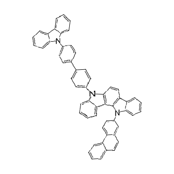 c1ccc2c(c1)ccc1cc(-n3c4ccccc4c4ccc5c(c6ccccc6n5-c5ccc(-c6ccc(-n7c8ccccc8c8ccccc87)cc6)cc5)c43)ccc12